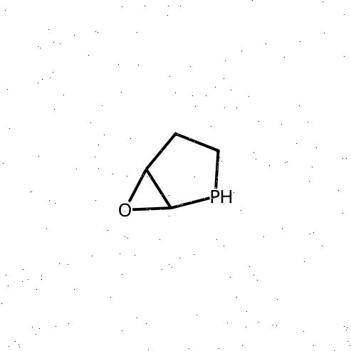 C1CC2OC2P1